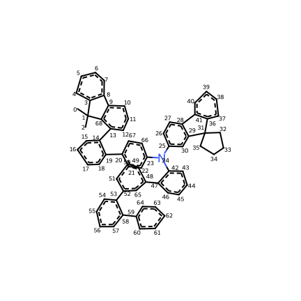 CC1(C)c2ccccc2-c2cccc(-c3ccccc3-c3ccc(N(c4ccc5c(c4)C4(CCCC4)c4ccccc4-5)c4ccccc4-c4cccc(-c5ccccc5-c5ccccc5)c4)cc3)c21